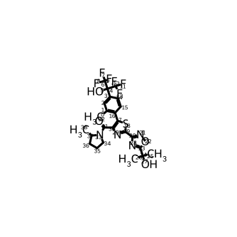 Cc1cc(C(O)(C(F)(F)F)C(F)(F)F)ccc1-c1sc(-c2noc(C(C)(C)O)n2)nc1C(=O)N1CCCC1C